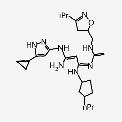 C=C(/N=C(\C=C(/N)Nc1cc(C2CC2)[nH]n1)NC1CCC(CCC)C1)NCC1CC(C(C)C)=NO1